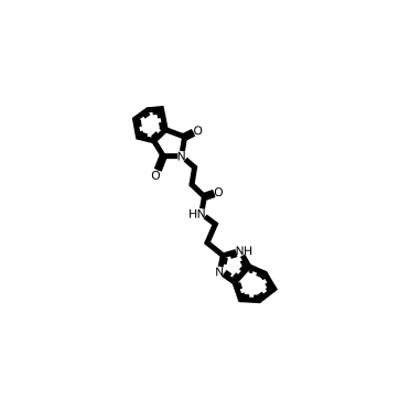 O=C(CCN1C(=O)c2ccccc2C1=O)NCCc1nc2ccccc2[nH]1